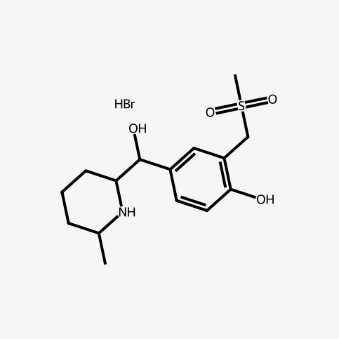 Br.CC1CCCC(C(O)c2ccc(O)c(CS(C)(=O)=O)c2)N1